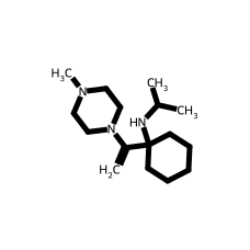 C=C(N1CCN(C)CC1)C1(NC(C)C)CCCCC1